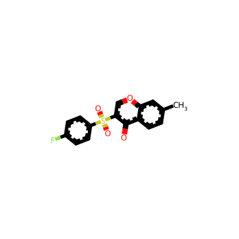 Cc1ccc2c(=O)c(S(=O)(=O)c3ccc(F)cc3)coc2c1